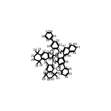 Cc1cc2c(cc1N1c3c(oc4cc5c(cc34)C(C)(C)CCC5(C)C)B3c4c(cc5c(oc6ccccc65)c41)-c1cc4ccccc4cc1N3c1ccc(-c3ccccc3)cc1)C(C)(C)CCC2(C)C